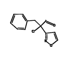 O=[C]C(Cl)(Cc1ccccc1)c1ccon1